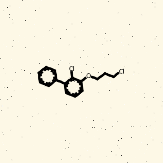 ClCCCOc1cccc(-c2ccccc2)c1Cl